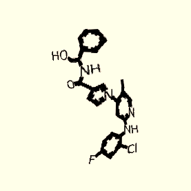 Cc1cnc(Nc2ccc(F)cc2Cl)cc1-n1ccc(C(=O)NC(CO)c2ccccc2)c1